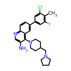 Cc1c(F)cc(-c2ccc3ncc(N)c(N4CCC(CN5CCCC5)CC4)c3c2)cc1Cl